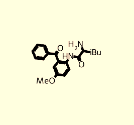 CCC(C)C(N)C(=O)Nc1ccc(OC)cc1C(=O)c1ccccc1